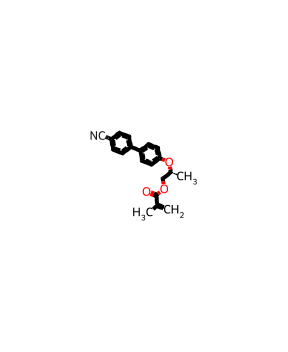 C=C(C)C(=O)OC[C@@H](C)Oc1ccc(-c2ccc(C#N)cc2)cc1